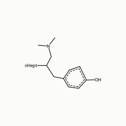 CCCCCCCC(Cc1ccc(O)cc1)CN(C)C